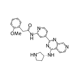 COc1ccccc1CC(=O)Nc1cc(-c2nc(N[C@@H]3CCNC3)c3ccncc3n2)ccn1